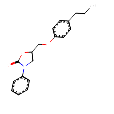 CCCc1ccc(OCC2CN(c3ccccc3)C(=O)O2)cc1